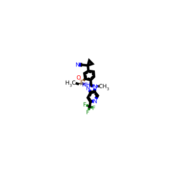 CC[S@@](=N)(=O)c1cc(C2(C#N)CC2)ccc1-c1nc2cc(C(F)(F)F)ncc2n1C